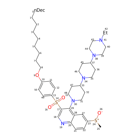 CCCCCCCCCCCCCCCCCCOc1ccc(S(=O)(=O)c2cnc3ccc([S@+](C)[O-])cc3c2N2CCC(N3CCC(N4CCN(CC)CC4)CC3)CC2)cc1